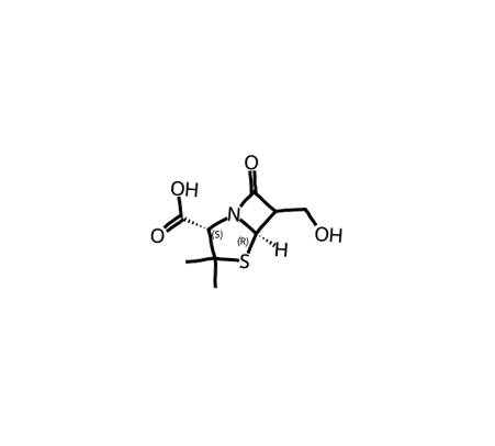 CC1(C)S[C@@H]2C(CO)C(=O)N2[C@H]1C(=O)O